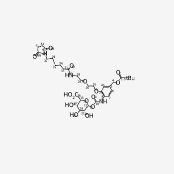 CC(C)(C)C(=O)OCc1ccc(NC(=O)O[C@@H]2O[C@H](C(=O)O)[C@@H](O)[C@H](O)[C@H]2O)c(OCCOCCNC(=O)CCCCCN2C(=O)CCC2=O)c1